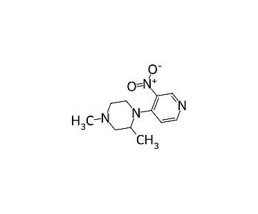 CC1CN(C)CCN1c1ccncc1[N+](=O)[O-]